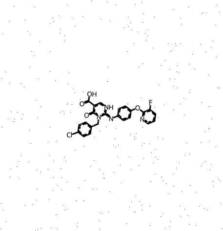 O=C(O)c1c[nH]/c(=N\c2ccc(Oc3ncccc3F)cc2)n(Cc2ccc(Cl)cc2)c1=O